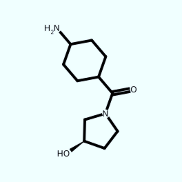 NC1CCC(C(=O)N2CC[C@@H](O)C2)CC1